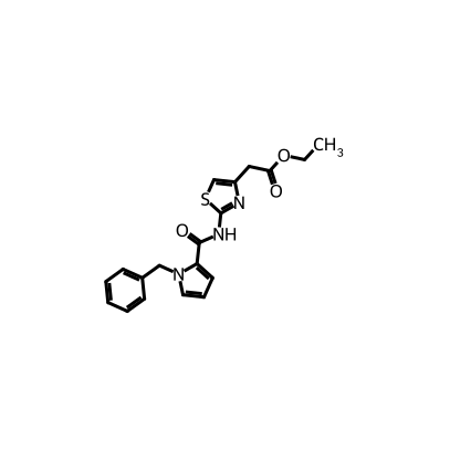 CCOC(=O)Cc1csc(NC(=O)c2cccn2Cc2ccccc2)n1